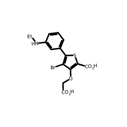 CCNc1cccc(-c2sc(C(=O)O)c(OCC(=O)O)c2Br)c1